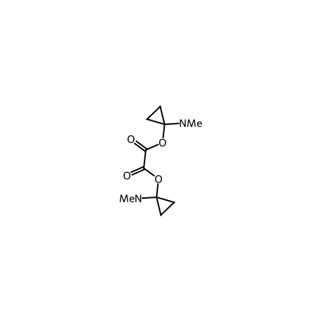 CNC1(OC(=O)C(=O)OC2(NC)CC2)CC1